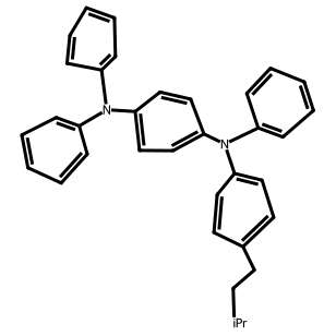 CC(C)CCc1ccc(N(c2ccccc2)c2ccc(N(c3ccccc3)c3ccccc3)cc2)cc1